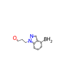 Bc1cccc2c1cnn2CCC=O